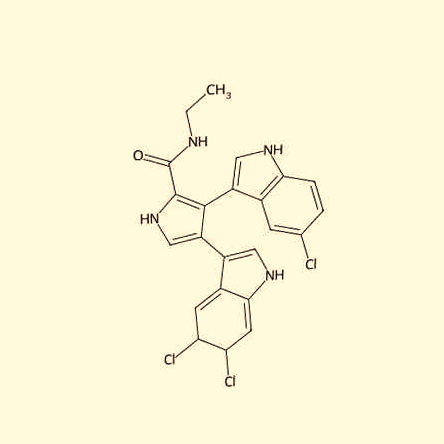 CCNC(=O)c1[nH]cc(-c2c[nH]c3c2=CC(Cl)C(Cl)C=3)c1-c1c[nH]c2ccc(Cl)cc12